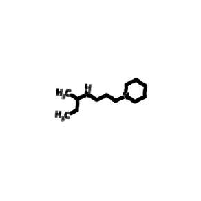 CCC(C)NCCCN1CCCCC1